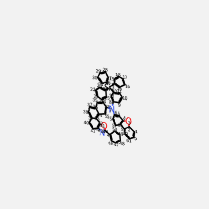 C1=CC2Oc3cc(N(c4cccc([Si](c5ccccc5)(c5ccccc5)c5ccccc5)c4)c4ccc5ccc6ccc7nc(-c8ccccc8)oc7c6c5c4)ccc3C2C=C1